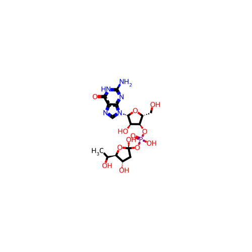 CC(O)[C@H]1O[C@](O)(OP(=O)(O)O[C@H]2[C@@H](O)[C@H](n3cnc4c(=O)[nH]c(N)nc43)O[C@@H]2CO)C[C@@H]1O